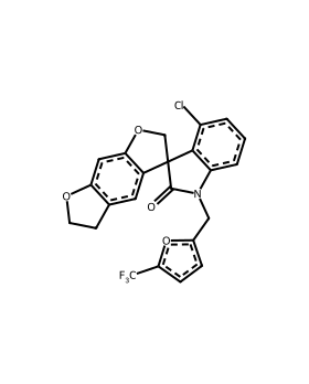 O=C1N(Cc2ccc(C(F)(F)F)o2)c2cccc(Cl)c2C12COc1cc3c(cc12)CCO3